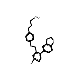 O=C(O)CCCc1ccc(OCc2cc(F)ccc2-c2ccc3c(c2)CCO3)cc1